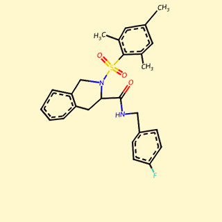 Cc1cc(C)c(S(=O)(=O)N2Cc3ccccc3CC2C(=O)NCc2ccc(F)cc2)c(C)c1